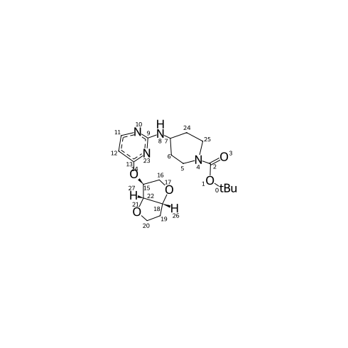 CC(C)(C)OC(=O)N1CCC(Nc2nccc(O[C@H]3CO[C@@H]4CCO[C@H]34)n2)CC1